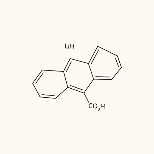 O=C(O)c1c2ccccc2cc2ccccc12.[LiH]